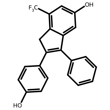 Oc1ccc(C2=C(c3ccccc3)c3cc(O)cc(C(F)(F)F)c3C2)cc1